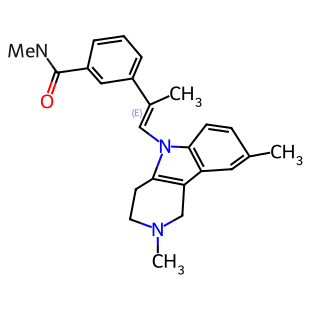 CNC(=O)c1cccc(/C(C)=C/n2c3c(c4cc(C)ccc42)CN(C)CC3)c1